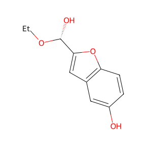 CCO[C@H](O)c1cc2cc(O)ccc2o1